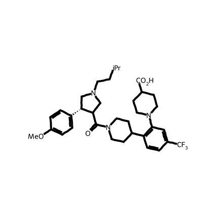 COc1ccc([C@@H]2CN(CCC(C)C)CC2C(=O)N2CCC(c3ccc(C(F)(F)F)cc3N3CCC(C(=O)O)CC3)CC2)cc1